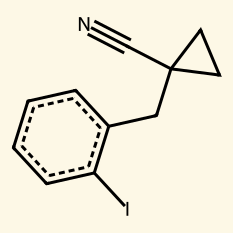 N#CC1(Cc2ccccc2I)CC1